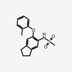 Cc1ccccc1Oc1cc2c(cc1NS(C)(=O)=O)CCC2